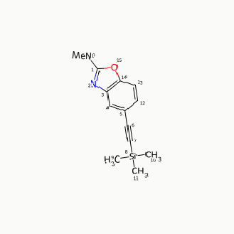 CNc1nc2cc(C#C[Si](C)(C)C)ccc2o1